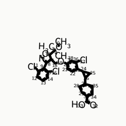 COC(C)(C)C1ON=C(c2c(Cl)cccc2Cl)C1COc1ccc(C2CC2c2ccc(C(=O)O)cc2)c(Cl)c1